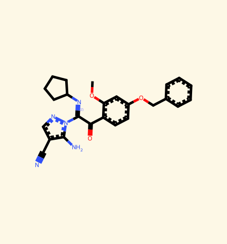 COc1cc(OCc2ccccc2)ccc1C(=O)/C(=N/C1CCCC1)n1ncc(C#N)c1N